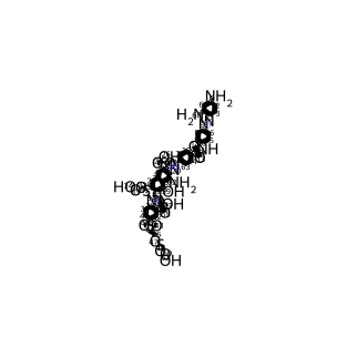 Nc1ccc(/N=N/c2ccc(NS(=O)(=O)c3ccc(/N=N/c4c(S(=O)(=O)O)cc5cc(SOOO)c(/N=N/c6ccc(S(=O)(=O)CCOSOOO)cc6S(=O)(=O)O)c(O)c5c4N)cc3)cc2)c(N)c1